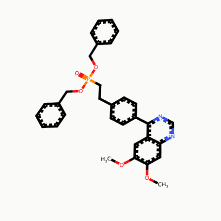 COc1cc2ncnc(-c3ccc(CCP(=O)(OCc4ccccc4)OCc4ccccc4)cc3)c2cc1OC